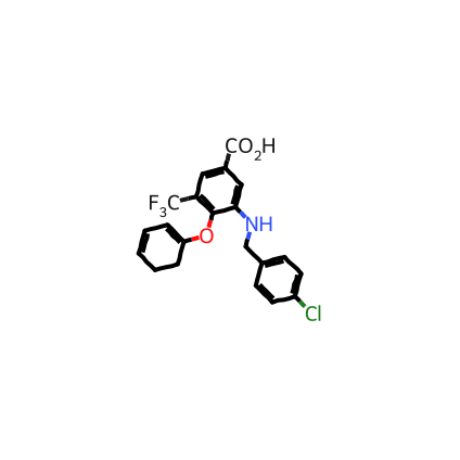 O=C(O)c1cc(NCc2ccc(Cl)cc2)c(OC2=CC=CCC2)c(C(F)(F)F)c1